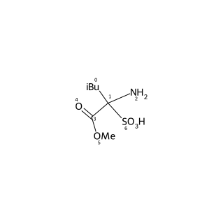 CCC(C)C(N)(C(=O)OC)S(=O)(=O)O